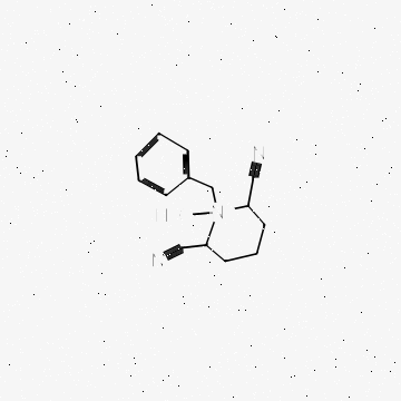 C[N+]1(Cc2ccccc2)C(C#N)CCCC1C#N